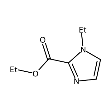 CCOC(=O)c1nccn1CC